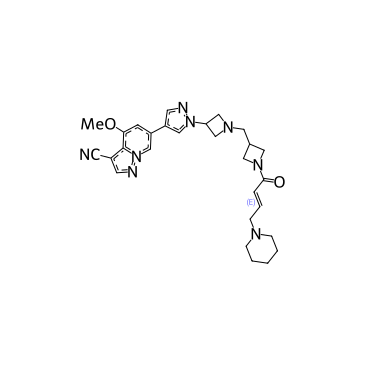 COc1cc(-c2cnn(C3CN(CC4CN(C(=O)/C=C/CN5CCCCC5)C4)C3)c2)cn2ncc(C#N)c12